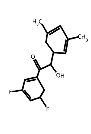 CC1=CC(C(O)C(=O)C2=CC(F)=CC(F)C2)CC(C)=C1